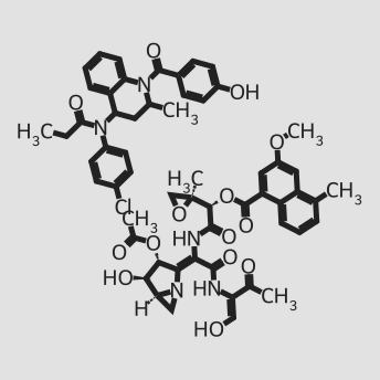 CCC(=O)N(c1ccc(Cl)cc1)C1CC(C)N(C(=O)c2ccc(O)cc2)c2ccccc21.COc1cc(C(=O)O[C@H](C(=O)N/C(C(=O)N/C(=C\O)C(C)=O)=C2\[C@@H](OC(C)=O)[C@H](O)[C@@H]3CN23)[C@]2(C)CO2)c2cccc(C)c2c1